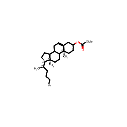 COC(=O)OC1CC[C@@]2(C)C(=CCC3C2CC[C@@]2(C)C3CC[C@@H]2[C@H](C)CCCC(C)C)C1